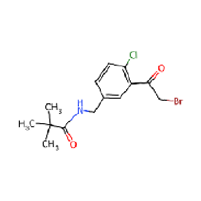 CC(C)(C)C(=O)NCc1ccc(Cl)c(C(=O)CBr)c1